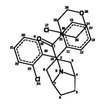 O=C(C1CC2CCC(C1)N2C(c1ccccc1Cl)c1ccccc1Cl)N1CCOCC1